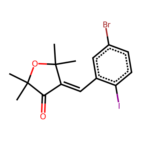 CC1(C)OC(C)(C)/C(=C\c2cc(Br)ccc2I)C1=O